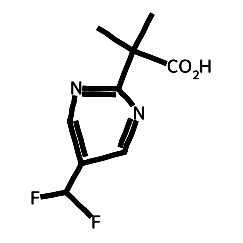 CC(C)(C(=O)O)c1ncc(C(F)F)cn1